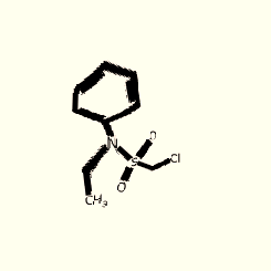 CCN(c1ccccc1)S(=O)(=O)CCl